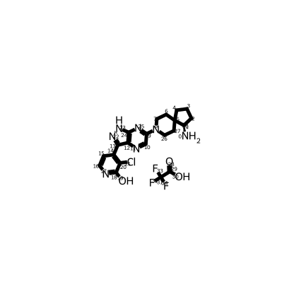 N[C@@H]1CCCC12CCN(c1cnc3c(-c4ccnc(O)c4Cl)n[nH]c3n1)CC2.O=C(O)C(F)(F)F